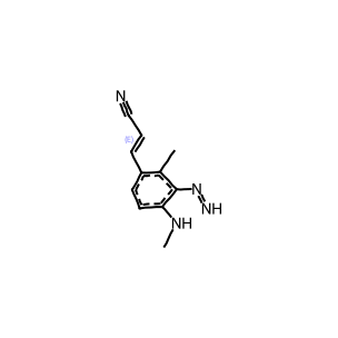 CNc1ccc(/C=C/C#N)c(C)c1N=N